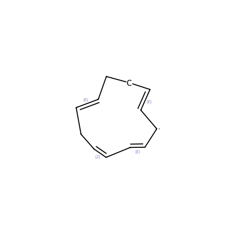 [CH]1/C=C/C=C\C/C=C/CC/C=C/1